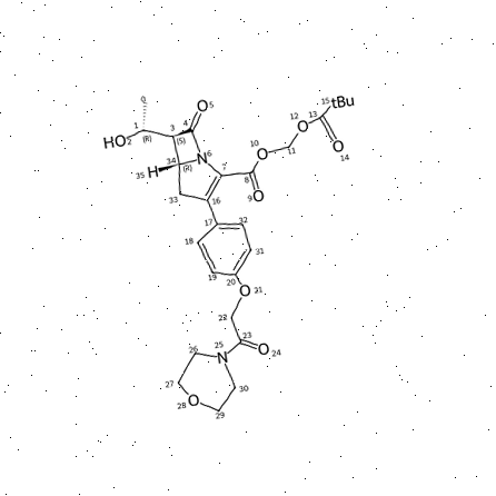 C[C@@H](O)[C@H]1C(=O)N2C(C(=O)OCOC(=O)C(C)(C)C)=C(c3ccc(OCC(=O)N4CCOCC4)cc3)C[C@H]12